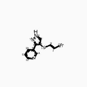 CC(C)CCSc1c[nH]nc1-c1cccnc1